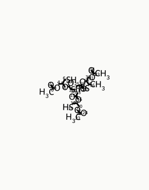 CC(=O)OCC(CS)OC(=O)[CH2][Sn]([CH2]C(=O)OC(CS)COC(C)=O)[CH2]C(=O)OC(COC(C)=O)C(C)S